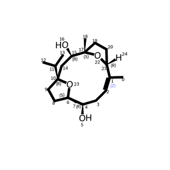 C/C1=C/C[C@@H](O)[C@]2(C)CC[C@](C(C)C)(C[C@@H](O)[C@]3(C)CC[C@H]1O3)O2